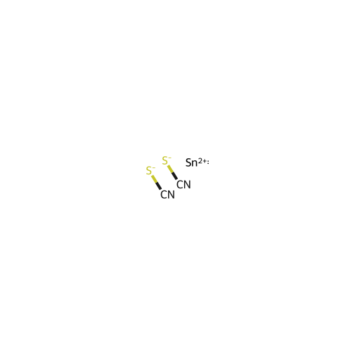 N#C[S-].N#C[S-].[Sn+2]